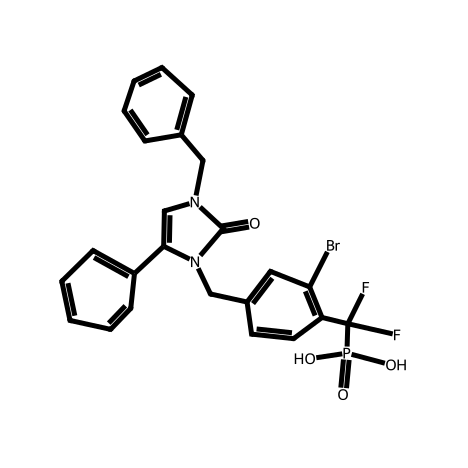 O=c1n(Cc2ccccc2)cc(-c2ccccc2)n1Cc1ccc(C(F)(F)P(=O)(O)O)c(Br)c1